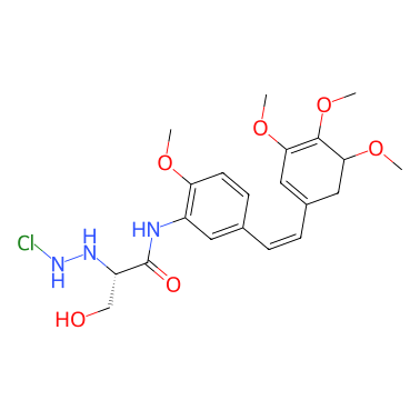 COC1=C(OC)C(OC)CC(/C=C\c2ccc(OC)c(NC(=O)[C@H](CO)NNCl)c2)=C1